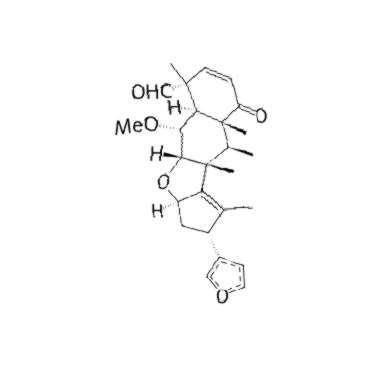 CO[C@H]1[C@H]2O[C@@H]3C[C@@H](c4ccoc4)C(C)=C3[C@@]2(C)[C@H](C)[C@@]2(C)C(=O)C=C[C@@](C)(C=O)[C@H]12